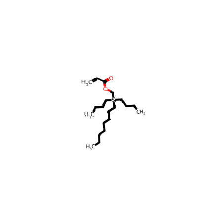 C=CC(=O)OC[Si](CCCC)(CCCC)CCCCCCCC